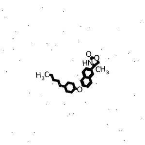 CCCCCC1CCC(Oc2ccc3cc(C4(C)COC(=O)N4)ccc3c2)CC1